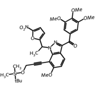 COc1cc(C(=O)c2nn(C(C)c3ccc([N+](=O)[O-])o3)c3c(C#CCO[Si](C)(C)C(C)(C)C)c(OC)ccc23)cc(OC)c1OC